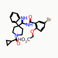 N=C(NC(=O)c1cc(Br)ccc1OCC(=O)O)C1(c2ccccc2)CCN(C(=O)C2CC2)CC1